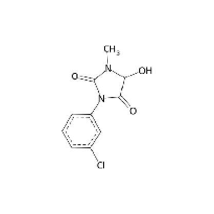 CN1C(=O)N(c2cccc(Cl)c2)C(=O)C1O